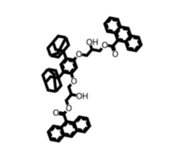 O=C(OCC(O)COc1cc(OCC(O)COC(=O)c2c3ccccc3cc3ccccc23)c(C23CC4CC(CC(C4)C2)C3)cc1C12CC3CC(CC(C3)C1)C2)c1c2ccccc2cc2ccccc12